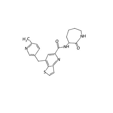 Cc1ccc(Cc2cc(C(=O)NC3CCCCNC3=O)nc3ccsc23)cn1